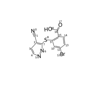 N#Cc1ccnnc1Sc1cc(Br)ccc1C(=O)O